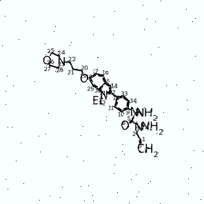 C=CCN(N)C(=O)N(N)c1ccc(-c2cc3ccc(OCCCN4CCOCC4)cc3n2CC)cc1